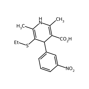 CCSC1=C(C)NC(C)=C(C(=O)O)C1c1cccc([N+](=O)[O-])c1